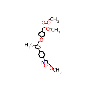 CCOC(=O)[C@H](Cc1ccc(OCc2sc(-c3ccc(-c4cc(COC)on4)cc3)cc2C)cc1)OCC